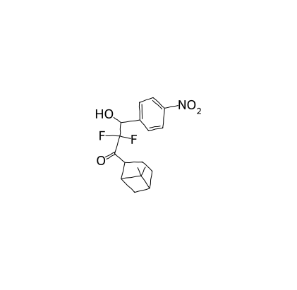 CC1(C)C2CCC(C(=O)C(F)(F)C(O)c3ccc([N+](=O)[O-])cc3)C1C2